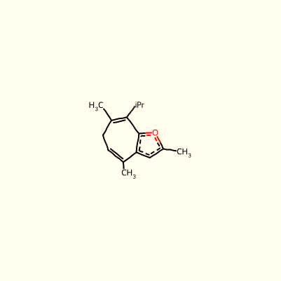 CC1=CCC(C)=C(C(C)C)c2oc(C)cc21